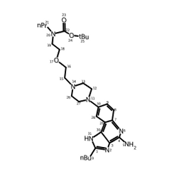 CCCCc1nc2c(N)nc3ccc(N4CCN(CCOCCN(CCC)C(=O)OC(C)(C)C)CC4)cc3c2[nH]1